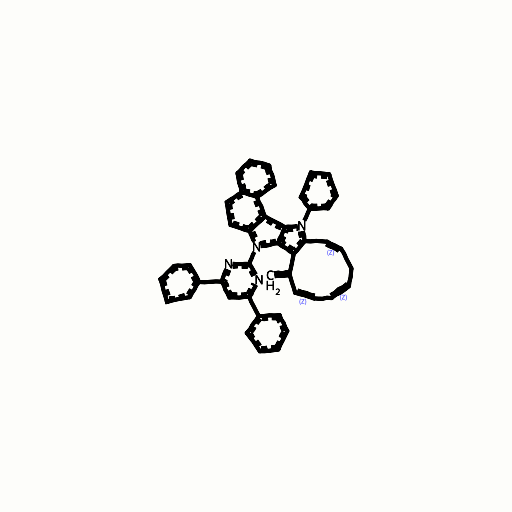 C=C1/C=C\C=C/C/C=C\c2c1c1c(c3c4ccccc4ccc3n1-c1nc(-c3ccccc3)cc(-c3ccccc3)n1)n2-c1ccccc1